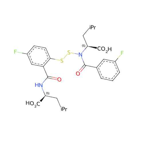 CC(C)C[C@H](NC(=O)c1cc(F)ccc1SSN(C(=O)c1cccc(F)c1)[C@@H](CC(C)C)C(=O)O)C(=O)O